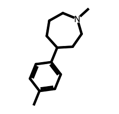 Cc1ccc(C2CCCN(C)CC2)cc1